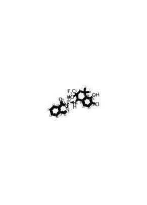 CC1(C)CC(O)(C(F)(F)F)C(NNn2ncc3ccccc3c2=O)c2ccc(Cl)c(O)c21